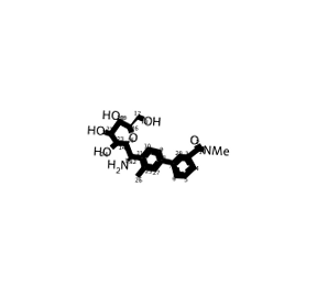 CNC(=O)c1cccc(-c2ccc([C@@H](N)[C@H]3O[C@H](CO)[C@@H](O)C(O)C3O)c(C)c2)c1